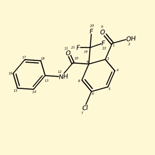 O=C(O)C1C=CC(Cl)=CC1(C(=O)Nc1ccccc1)C(F)(F)F